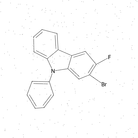 Fc1cc2c3ccccc3n(-c3ccccc3)c2cc1Br